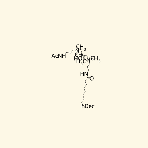 CCCCCCCCCCCCCCCCCC(=O)NCCC[N+](C)(C)CC(O)C[N+](C)(C)CCCNC(C)=O